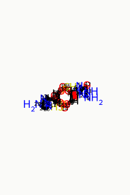 Nc1nc2c(ncn2[C@@H]2O[C@@H]3COP(=O)(S)O[C@H]4C[C@H](c5cnc6n5N=CCC6N)O[C@@H]4COP(=O)(S)O[C@@H]2[C@@H]3F)c(=O)[nH]1